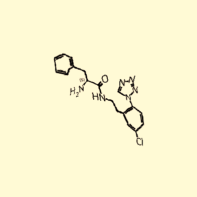 N[C@@H](Cc1ccccc1)C(=O)NCCc1cc(Cl)ccc1-n1cnnn1